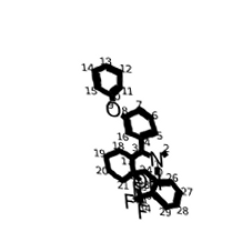 CN(C)C(c1cccc(Oc2ccccc2)c1)C1CCCCC1(O)Cc1ccccc1C(F)(F)F